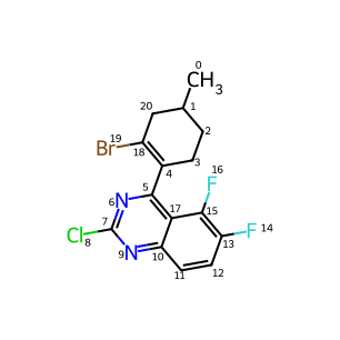 CC1CCC(c2nc(Cl)nc3ccc(F)c(F)c23)=C(Br)C1